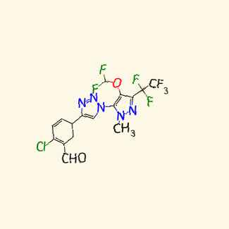 Cn1nc(C(F)(F)C(F)(F)F)c(OC(F)F)c1-n1cc(C2C=CC(Cl)=C(C=O)C2)nn1